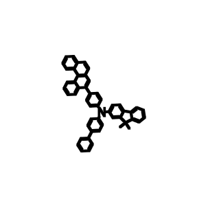 CC1(C)c2ccccc2-c2ccc(N(c3ccc(-c4ccccc4)cc3)c3ccc(-c4cc5ccc6ccccc6c5c5ccccc45)cc3)cc21